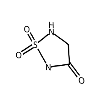 O=C1CNS(=O)(=O)[N]1